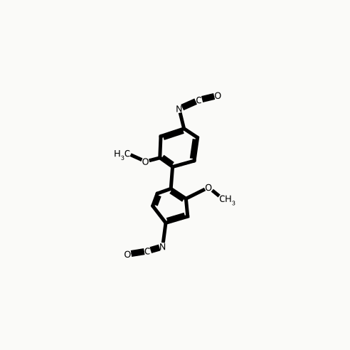 COc1cc(N=C=O)ccc1-c1ccc(N=C=O)cc1OC